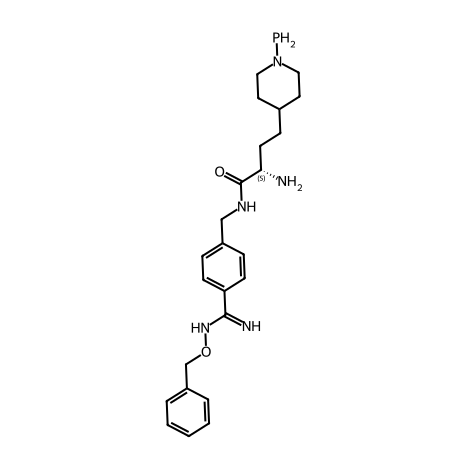 N=C(NOCc1ccccc1)c1ccc(CNC(=O)[C@@H](N)CCC2CCN(P)CC2)cc1